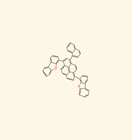 c1ccc2c(-c3cc(-c4cccc5c4oc4ccccc45)c4ccc5ccc(-c6cccc7c6oc6ccccc67)c6ccc3c4c56)cccc2c1